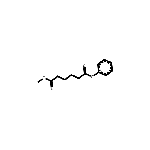 COC(=O)C[CH]CCC(=O)Oc1ccccc1